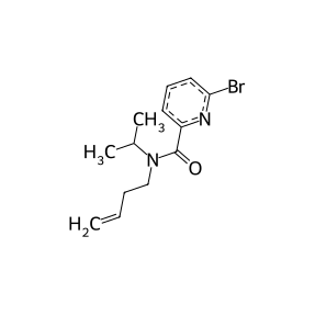 C=CCCN(C(=O)c1cccc(Br)n1)C(C)C